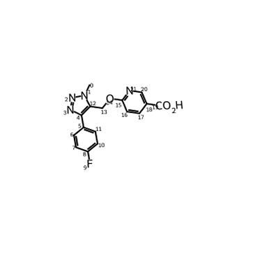 Cn1nnc(-c2ccc(F)cc2)c1COc1ccc(C(=O)O)cn1